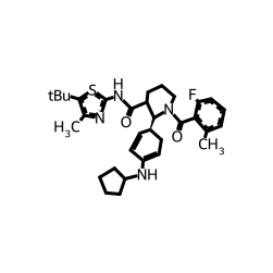 Cc1cccc(F)c1C(=O)N1CCCC(C(=O)Nc2nc(C)c(C(C)(C)C)s2)C1[C@@H]1C=CC(NC2CCCC2)=CC1